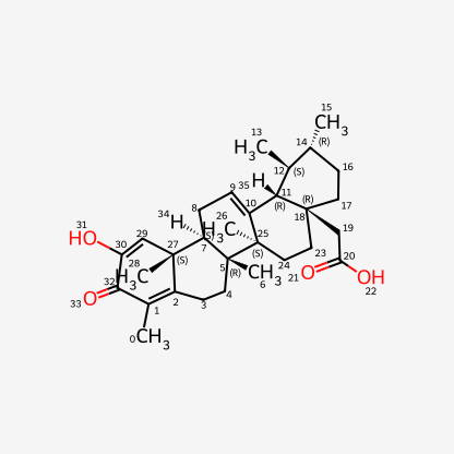 CC1=C2CC[C@]3(C)[C@H](CC=C4[C@@H]5[C@@H](C)[C@H](C)CC[C@]5(CC(=O)O)CC[C@]43C)[C@@]2(C)C=C(O)C1=O